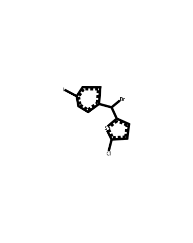 Clc1ccc(C(Br)c2ccc(I)cc2)s1